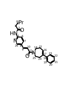 CC(C)CC(=O)Nc1ccc(/C=C/C(=O)N2CCC=C(c3ccccc3)CC2)cn1